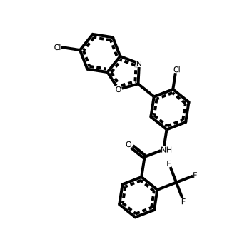 O=C(Nc1ccc(Cl)c(-c2nc3ccc(Cl)cc3o2)c1)c1ccccc1C(F)(F)F